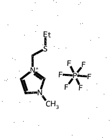 CCSC[n+]1ccn(C)c1.F[P-](F)(F)(F)(F)F